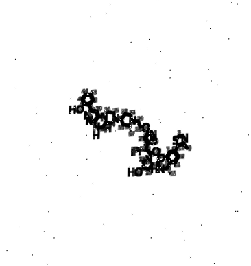 Cc1ncsc1-c1ccc([C@H](C)NC(=O)[C@@H]2C[C@@H](O)CN2C(=O)[C@@H](c2cc(OCCN3CC[C@@H](N4CCN5c6cc(-c7ccccc7O)nnc6NC[C@H]5C4)C[C@H]3C)no2)C(C)C)cc1